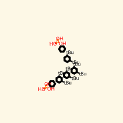 CC(C)(C)c1cccc(C(C)(C)C)c1.CC(C)(C)c1cccc(C(C)(C)C)c1.CC(C)(C)c1cccc(C(C)(C)C)c1.CC(C)(C)c1cccc(C(C)(C)C)c1.OP(O)O.OP(O)O.c1ccccc1.c1ccccc1